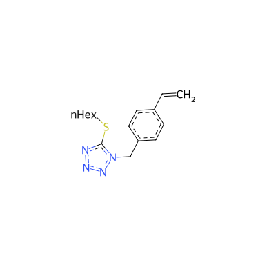 C=Cc1ccc(Cn2nnnc2SCCCCCC)cc1